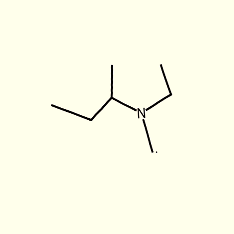 [CH2]N(CC)C(C)CC